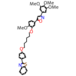 COc1ccc(-c2cc(-c3cc(OC)c(OC)c(OC)c3)no2)cc1OCCCCCCOc1ccc(-c2nc3ccccc3s2)cc1